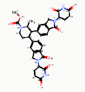 CC1C(c2ccc3c(c2)CN(C2CCC(=O)NC2=O)C3=O)C(c2ccc3c(c2)CN(C2CCC(=O)NC2=O)C3=O)CCN1C(=O)OC(C)(C)C